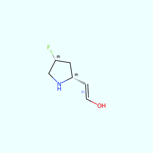 O/C=C/[C@H]1C[C@@H](F)CN1